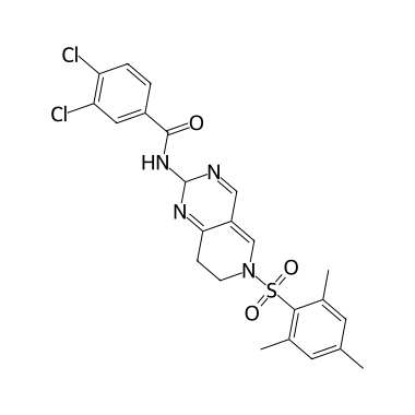 Cc1cc(C)c(S(=O)(=O)N2C=C3C=NC(NC(=O)c4ccc(Cl)c(Cl)c4)N=C3CC2)c(C)c1